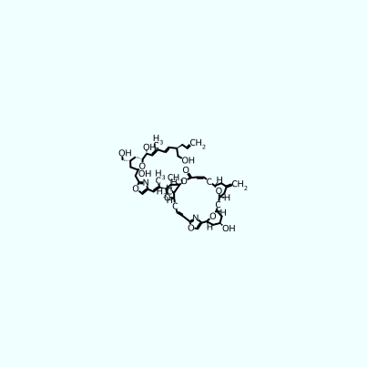 C=CC[C@H](/C=C/C(C)=C/[C@@H](O)[C@H]1C[C@@H](CO)C[C@@](O)(Cc2nc(/C=C(\C)[C@@H]3O[C@@H]4C/C=C/c5nc(co5)[C@H]5C[C@H](O)C[C@@H](C[C@H]6CC(=C)C[C@H](C/C=C\C(=O)O[C@@H]([C@H]4C)[C@H]3C)O6)O5)co2)O1)CO